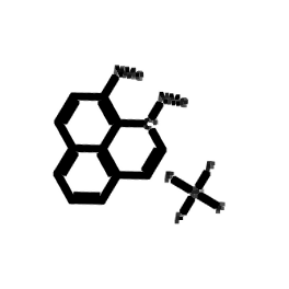 CNc1ccc2cccc3c2c1[C+](NC)C=C3.F[B-](F)(F)F